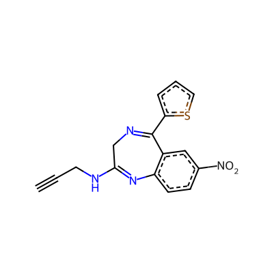 C#CCNC1=Nc2ccc([N+](=O)[O-])cc2C(c2cccs2)=NC1